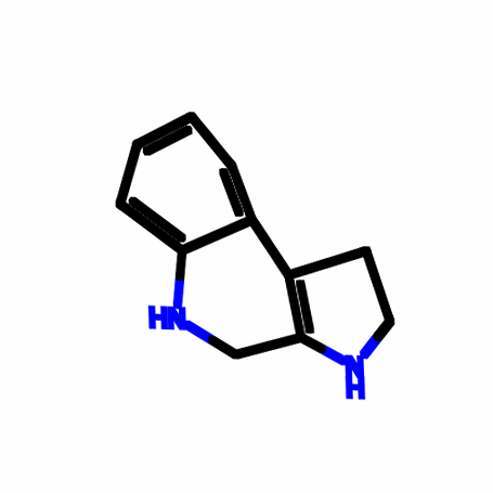 c1ccc2c(c1)NCC1=C2CCN1